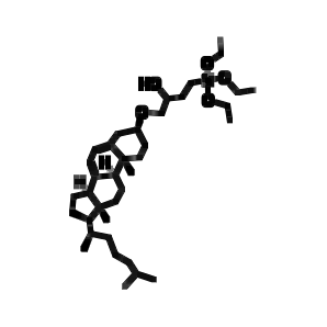 CCO[Si](CCC(O)CO[C@H]1CC[C@@]2(C)C(=CC=C3[C@@H]4CC[C@H]([C@H](C)CCCC(C)C)[C@@]4(C)CC[C@@H]32)C1)(OCC)OCC